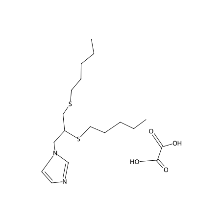 CCCCCSCC(Cn1ccnc1)SCCCCC.O=C(O)C(=O)O